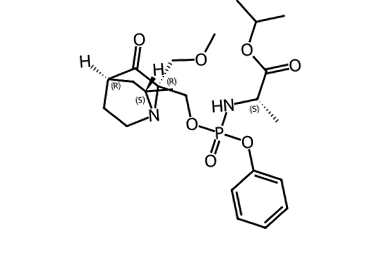 COC[C@@]1(COP(=O)(N[C@@H](C)C(=O)OC(C)C)Oc2ccccc2)C(=O)[C@@H]2CCN1[C@@H](C)C2